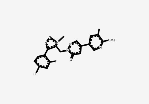 COc1ncc(-c2cnn(Cc3c(-c4ccc(Cl)cc4F)nnn3C)c(=O)c2)cc1C